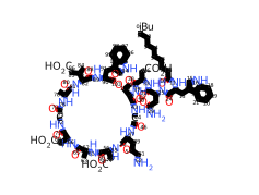 CCC(C)CCCCCCCCC(=O)NC(Cc1c[nH]c2ccccc12)C(=O)NC(CC(N)=O)C(=O)NC(CC(=O)O)C(=O)NC1C(=O)NCC(=O)NC(CCCN)C(=O)NC(CC(=O)O)C(=O)NC(C)C(=O)NC(CC(=O)O)C(=O)NCC(=O)NC(C)C(=O)NC(C(C)CC(=O)O)C(=O)NC(Cc2c[nH]c3ccccc23)C(=O)OC1C